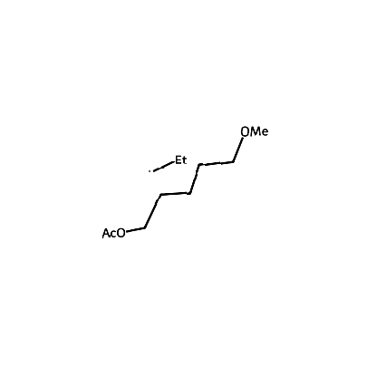 COCCCCCOC(C)=O.[CH2]CC